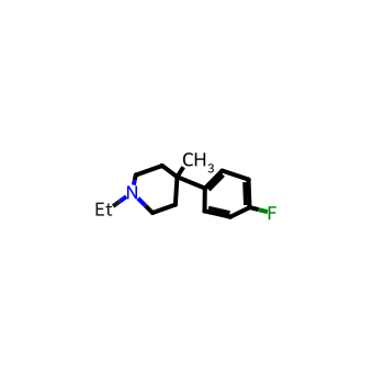 CCN1CCC(C)(c2ccc(F)cc2)CC1